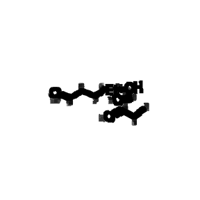 C=O.CCC=O.CCCC=O.CCO